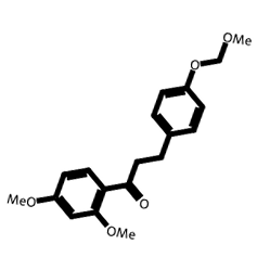 COCOc1ccc(CCC(=O)c2ccc(OC)cc2OC)cc1